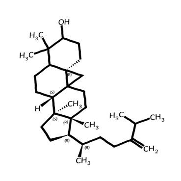 C=C(CC[C@@H](C)[C@H]1CC[C@@]2(C)[C@@H]3CCC4C(C)(C)C(O)CC[C@@]45CC35CC[C@]12C)C(C)C